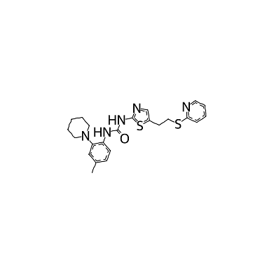 Cc1ccc(NC(=O)Nc2ncc(CCSc3ccccn3)s2)c(N2CCCCC2)c1